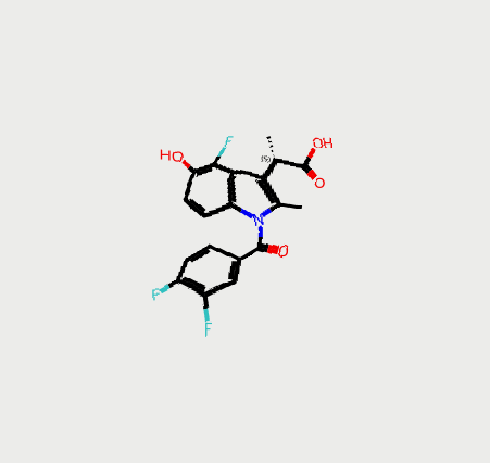 Cc1c([C@H](C)C(=O)O)c2c(F)c(O)ccc2n1C(=O)c1ccc(F)c(F)c1